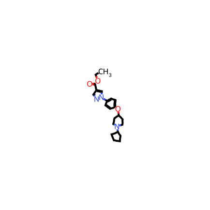 CCOC(=O)c1cnn(-c2ccc(OC3CCN(C4CCCC4)CC3)cc2)c1